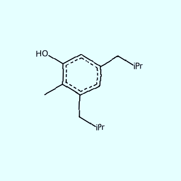 Cc1c(O)cc(CC(C)C)cc1CC(C)C